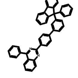 c1ccc(-c2nc(-c3ccc(-c4cccc(C5(c6ccccc6)c6ccccc6-c6ccccc65)c4)cc3)nc3ccccc23)cc1